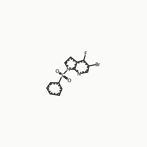 O=S(=O)(c1ccccc1)n1ccc2c(F)c(Br)cnc21